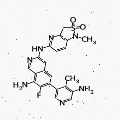 Cc1c(N)cncc1-c1cc2cc(Nc3ccc4c(n3)CS(=O)(=O)N4C)ncc2c(N)c1F